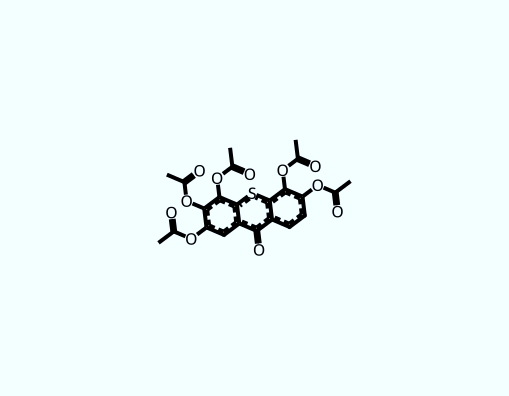 CC(=O)Oc1cc2c(=O)c3ccc(OC(C)=O)c(OC(C)=O)c3sc2c(OC(C)=O)c1OC(C)=O